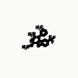 COC(=O)c1oc2ccc(C(F)(F)F)cc2c1N(C(N)=O)c1cccc(C)c1